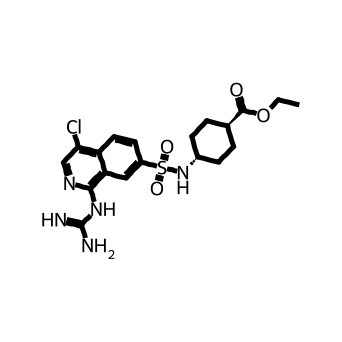 CCOC(=O)[C@H]1CC[C@H](NS(=O)(=O)c2ccc3c(Cl)cnc(NC(=N)N)c3c2)CC1